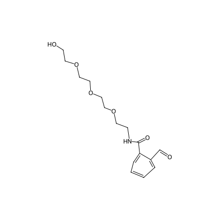 O=Cc1ccccc1C(=O)NCCOCCOCCOCCO